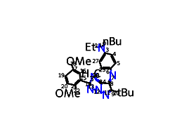 CCCCN(CC)c1ccc(/N=C2/C(C(C)(C)C)=Nn3nc(-c4cc(OC)ccc4OC)nc32)c(C)c1